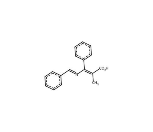 CC(C(=O)O)=C(N=Cc1ccccc1)c1ccccc1